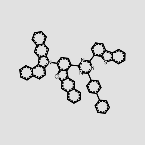 c1ccc(-c2ccc(-c3nc(-c4cccc5c4sc4ccccc45)nc(-c4ccc(-n5c6cc7ccccc7cc6c6c7ccccc7ccc65)c5oc6cc7ccccc7cc6c45)n3)cc2)cc1